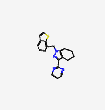 c1cnc(-c2nn(Cc3cccc4ccsc34)c3c2CCCC3)nc1